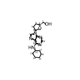 OC[C@@H]1CC[C@H](n2cnc3c(NC4CCCCC4)ncnc32)O1